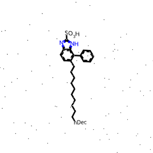 CCCCCCCCCCCCCCCCCCCCc1ccc2nc(S(=O)(=O)O)[nH]c2c1-c1ccccc1